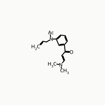 C=CCN(C(C)=O)c1cccc(C(=O)C=CN(C)C)c1